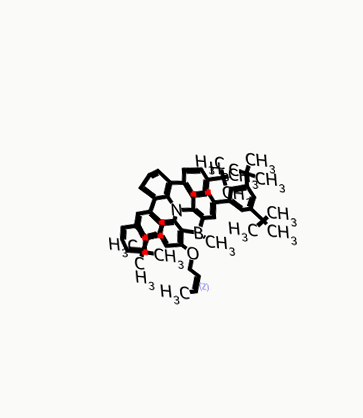 C/C=C\COc1cc(-c2ccccc2)cc2c1B(C)c1cc(-c3cc(C(C)(C)C)cc(C(C)(C)C)c3)ccc1N2c1c(-c2ccc(C(C)(C)C)cc2)cccc1-c1ccc(C(C)(C)C)cc1